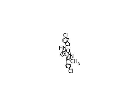 Cc1nnc([C@H]2CCCN2C(=O)N[C@@H]2CCc3cc(Cl)ccc32)n1Cc1ccc(Cl)cc1